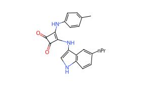 CCCc1ccc2[nH]cc(Nc3c(Nc4ccc(C)cc4)c(=O)c3=O)c2c1